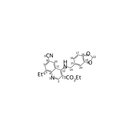 CCOC(=O)c1cnc2c(CC)cc(C#N)cc2c1NCc1ccc2c(c1)OCO2